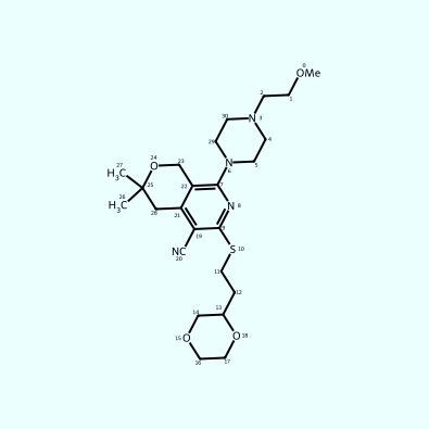 COCCN1CCN(c2nc(SCCC3COCCO3)c(C#N)c3c2COC(C)(C)C3)CC1